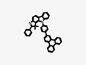 CC1(C)C(c2ccccc2)=Nc2ccc3c4ccccc4n(-c4ccc(-c5ccc6c7ccccc7c7ccccc7c6c5)cc4)c3c21